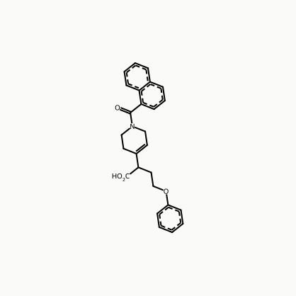 O=C(O)C(CCOc1ccccc1)C1=CCN(C(=O)c2cccc3ccccc23)CC1